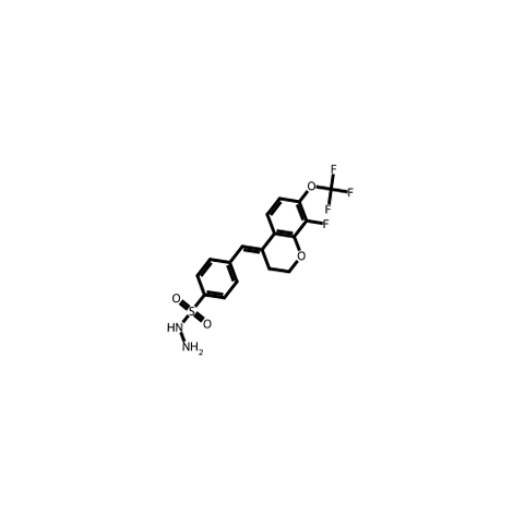 NNS(=O)(=O)c1ccc(C=C2CCOc3c2ccc(OC(F)(F)F)c3F)cc1